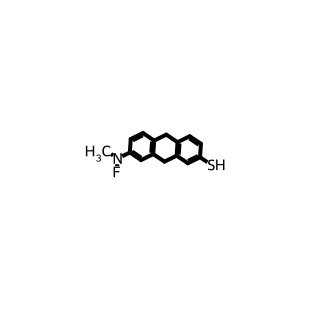 CN(F)c1ccc2c(c1)Cc1cc(S)ccc1C2